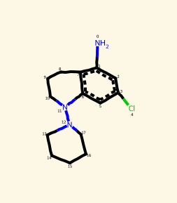 Nc1cc(Cl)cc2c1CCCN2N1CCCCC1